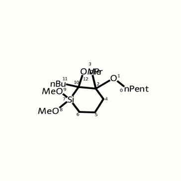 CCCCCOC1(CCC)CCC[Si](OC)(OC)C1(CCCC)OC